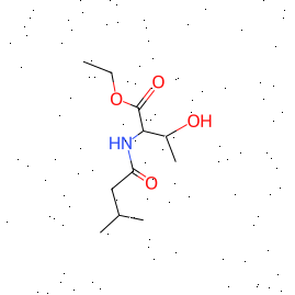 CCOC(=O)C(NC(=O)CC(C)C)C(C)O